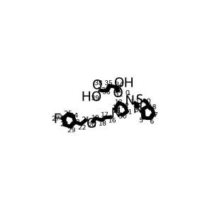 CN(C1=Nc2ccccc2CS1)C1CCN(CCCCOCCc2ccc(F)cc2)CC1.O=C(O)C=CC(=O)O